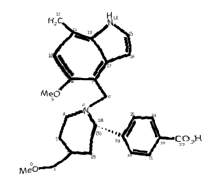 COCC1CCN(Cc2c(OC)cc(C)c3[nH]ccc23)[C@H](c2ccc(C(=O)O)cc2)C1